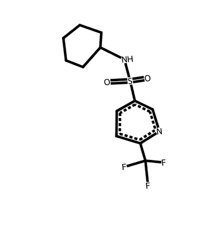 O=S(=O)(NC1CCCCC1)c1ccc(C(F)(F)F)nc1